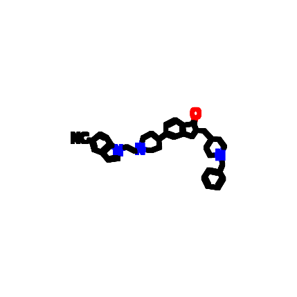 N#Cc1ccc2c(ccn2CCN2CCC(c3ccc4c(c3)CC(CC3CCN(Cc5ccccc5)CC3)C4=O)CC2)c1